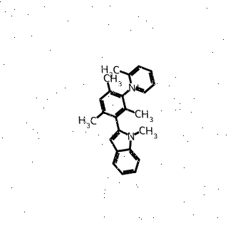 Cc1cc(C)c(-[n+]2ccccc2C)c(C)c1-c1cc2ccccc2n1C